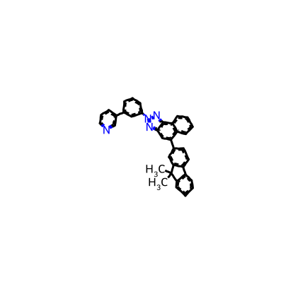 CC1(C)c2ccccc2-c2ccc(-c3cc4nn(-c5cccc(-c6cccnc6)c5)nc4c4ccccc34)cc21